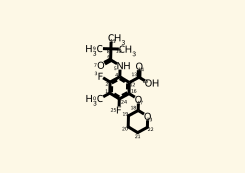 Cc1c(F)c(NC(=O)C(C)(C)C)c(C(=O)O)c(OC2CCCCO2)c1F